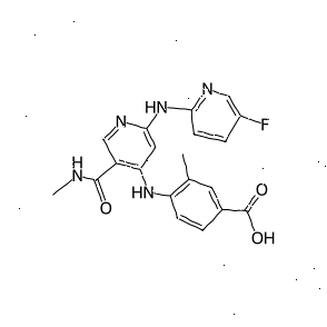 CNC(=O)c1cnc(Nc2ccc(F)cn2)cc1Nc1ccc(C(=O)O)cc1C